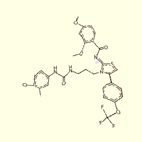 COc1ccc(C(=O)/N=c2\scc(-c3ccc(OC(F)(F)F)cc3)n2CCCNC(=O)Nc2ccc(Cl)c(C)c2)c(OC)c1